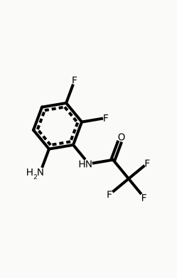 Nc1ccc(F)c(F)c1NC(=O)C(F)(F)F